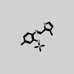 Cc1ccc(/N=C/c2sccc2C)c(O[Si](C)(C)C)c1